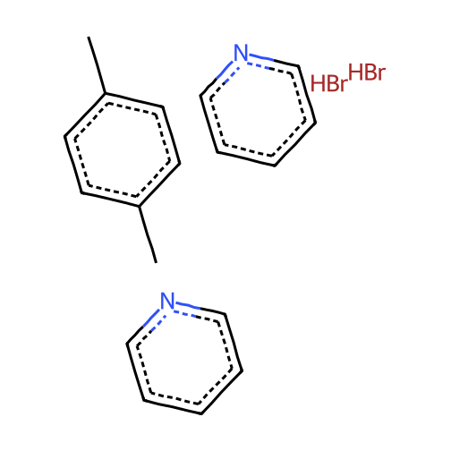 Br.Br.Cc1ccc(C)cc1.c1ccncc1.c1ccncc1